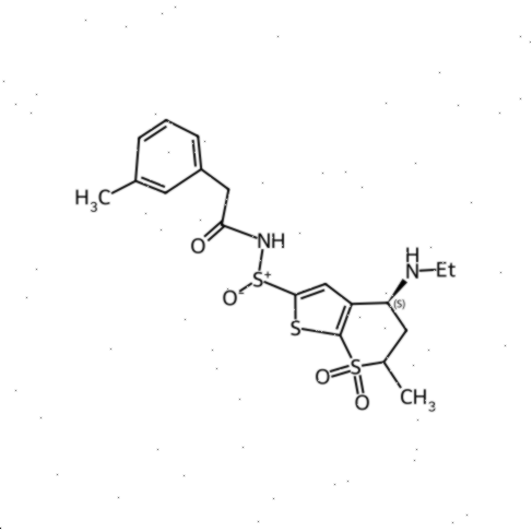 CCN[C@H]1CC(C)S(=O)(=O)c2sc([S+]([O-])NC(=O)Cc3cccc(C)c3)cc21